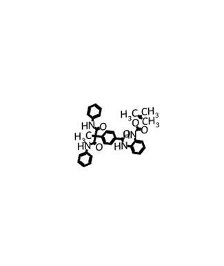 CC(C)(C)OC(=O)Nc1ccccc1NC(=O)c1ccc(C(C)(C(=O)Nc2ccccc2)C(=O)Nc2ccccc2)cc1